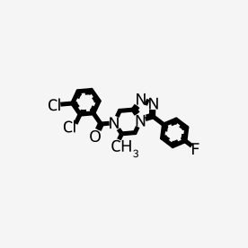 CC1Cn2c(nnc2-c2ccc(F)cc2)CN1C(=O)c1cccc(Cl)c1Cl